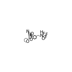 CN(C)C=NS(=O)(=O)c1cc(CCNC(=O)C(F)(F)F)ccc1OCC1CCCCO1